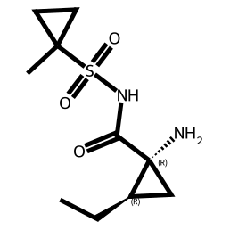 CC[C@@H]1C[C@]1(N)C(=O)NS(=O)(=O)C1(C)CC1